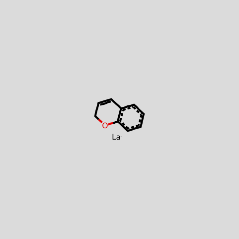 C1=Cc2ccccc2OC1.[La]